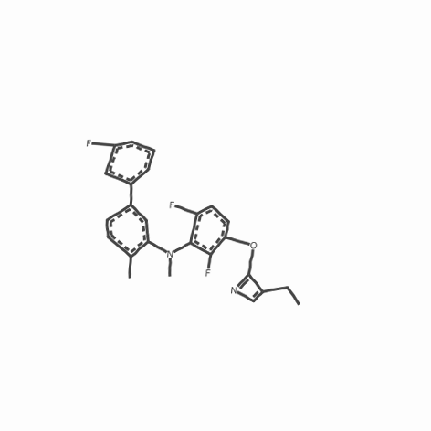 CCC1=CN=C1Oc1ccc(F)c(N(C)c2cc(-c3cccc(F)c3)ccc2C)c1F